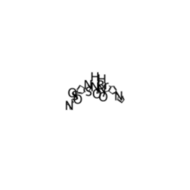 CN(C)CCS(=O)(=O)c1ccc2nc(NC(=O)NC(=O)c3cc(-n4cccc4)ccc3Br)sc2c1